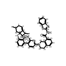 CC1CC=C2C(C)CC2(Sc2cccc(-c3ccc(N4CCc5cccc(C(=O)Nc6nc7ccccc7s6)c5C4)nc3C(=O)O)c2C#N)C1